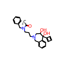 O=C(N(CCCN1Cc2ccccc2C(O)(C2=CC=C2)C(O)C1)Cc1ccccc1)C(F)(F)F